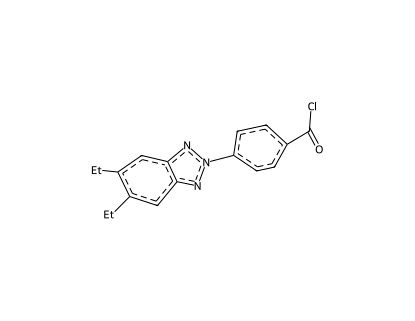 CCc1cc2nn(-c3ccc(C(=O)Cl)cc3)nc2cc1CC